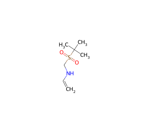 C=CNCS(=O)(=O)C(C)(C)C